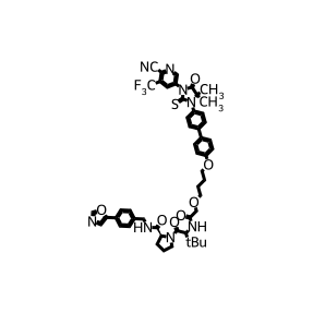 CC(C)(C)C(NC(=O)COCCCCOc1ccc(-c2ccc(N3C(=S)N(c4cnc(C#N)c(C(F)(F)F)c4)C(=O)C3(C)C)cc2)cc1)C(=O)N1CCC[C@H]1C(=O)NCc1ccc(-c2cnco2)cc1